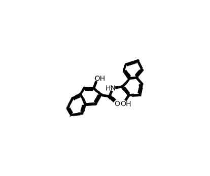 O=C(Nc1c(O)ccc2ccccc12)c1cc2ccccc2cc1O